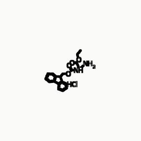 CCOC(=O)[C@H](CN)NC(=O)OCC1c2ccccc2-c2ccccc21.Cl